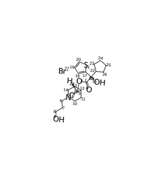 O=C(O[C@H]1C[N+]2(CCCO)CCC1CC2)[C@](O)(c1cccs1)C1CCCC1.[Br-]